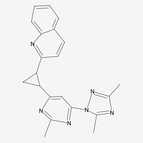 Cc1nc(C2CC2c2ccc3ccccc3n2)cc(-n2nc(C)nc2C)n1